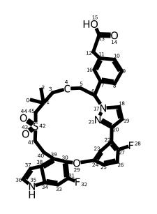 CC1(C)CCCC(c2cccc(CC(=O)O)c2)n2ccc(n2)-c2cc(ccc2F)Oc2c(F)cc3[nH]ccc3c2CCS(=O)(=O)C1